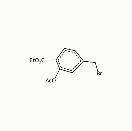 CCOC(=O)c1ccc(CBr)cc1OC(C)=O